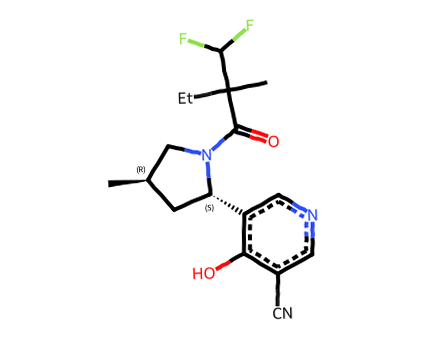 CCC(C)(C(=O)N1C[C@H](C)C[C@H]1c1cncc(C#N)c1O)C(F)F